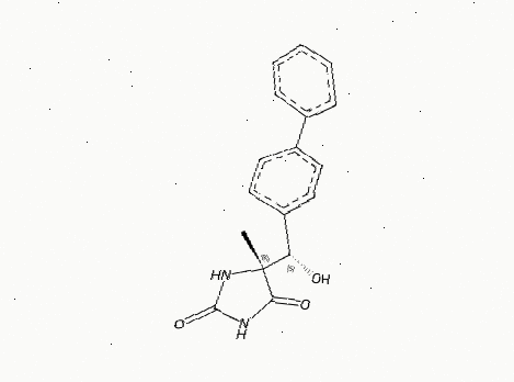 C[C@]1([C@@H](O)c2ccc(-c3ccccc3)cc2)NC(=O)NC1=O